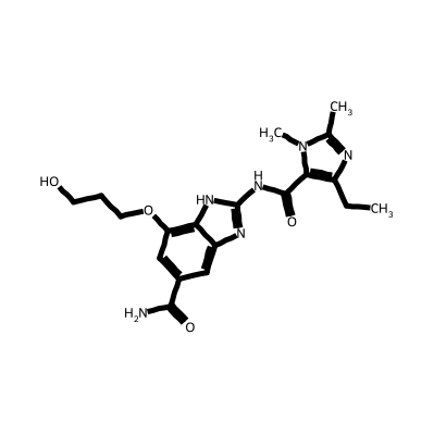 CCc1nc(C)n(C)c1C(=O)Nc1nc2cc(C(N)=O)cc(OCCCO)c2[nH]1